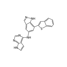 c1ccc2sc(-c3cc(Nc4ncnc5[nH]ccc45)cc4cn[nH]c34)cc2c1